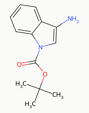 CC(C)(C)OC(=O)n1cc(N)c2ccccc21